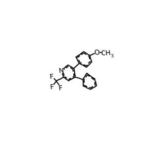 COc1ccc(-c2cnc(C(F)(F)F)cc2-c2ccccc2)cc1